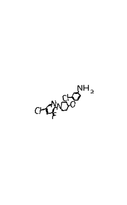 Nc1ccc(OC2CCN(c3ncc(Cl)cc3F)CC2)c(Cl)c1